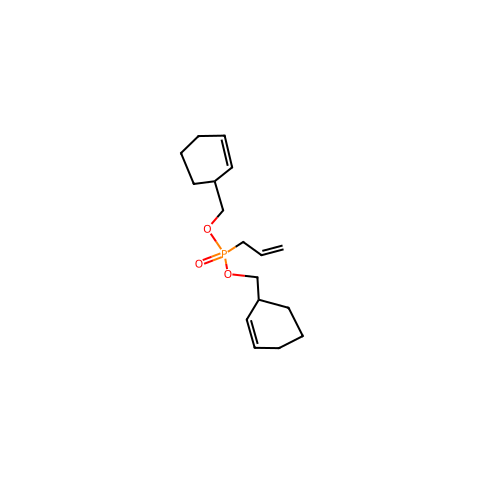 C=CCP(=O)(OCC1C=CCCC1)OCC1C=CCCC1